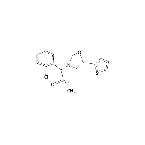 COC(=O)C(c1ccccc1Cl)N1COC(c2cccs2)C1